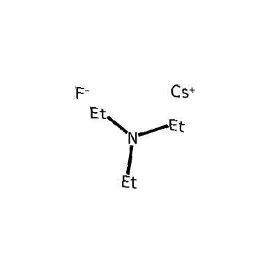 CCN(CC)CC.[Cs+].[F-]